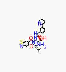 CC(C)C[C@H](N)C(=O)N(C(=O)c1ccc2ncsc2c1)C(CC(C)O)NC(=O)Cc1cccc(-c2ccccn2)c1